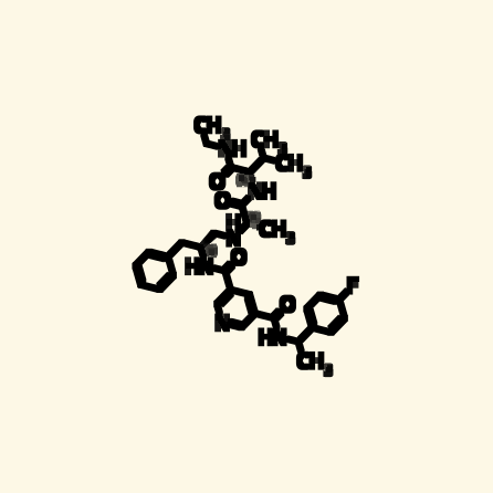 CCNC(=O)[C@@H](NC(=O)[C@H](C)NC[C@H](Cc1ccccc1)NC(=O)c1cncc(C(=O)NC(C)c2ccc(F)cc2)c1)C(C)C